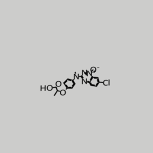 CC(Oc1ccc(N(C)c2nc3ccc(Cl)cc3[n+]([O-])n2)cc1)C(=O)O